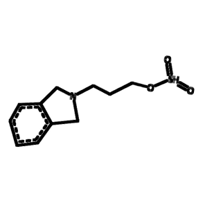 O=[SH](=O)OCCCN1Cc2ccccc2C1